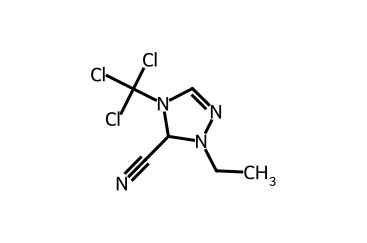 CCN1N=CN(C(Cl)(Cl)Cl)C1C#N